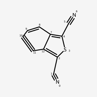 N#Cc1sc(C#N)c2ccc#cc12